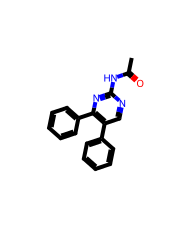 CC(=O)Nc1ncc(-c2ccccc2)c(-c2ccccc2)n1